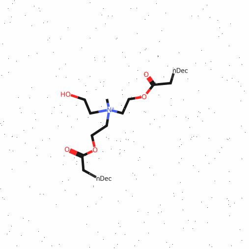 CCCCCCCCCCCC(=O)OCC[N+](C)(CCO)CCOC(=O)CCCCCCCCCCC